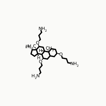 CC(C)[C@H]1CC[C@H]2C3[C@H](OCCCN)CC4C[C@H](OCCCN)CC[C@]4(C)[C@H]3C[C@H](OCCCN)[C@]12C